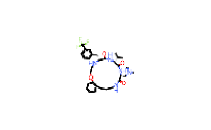 CC(C)[C@H]1NC(=O)[C@@H](Cc2cccc(C(F)(F)F)c2)NCCOc2ccccc2CCCNC(=O)[C@H](CN(C)C)NC1=O